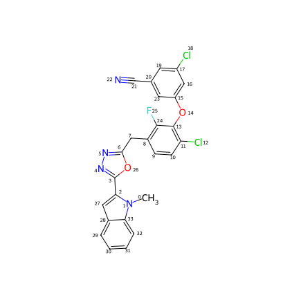 Cn1c(-c2nnc(Cc3ccc(Cl)c(Oc4cc(Cl)cc(C#N)c4)c3F)o2)cc2ccccc21